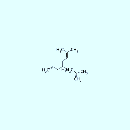 C=C(C)C.C=CCC(C)CC=C(C)C